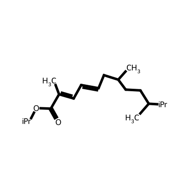 C/C(=C\C=C\CC(C)CCC(C)C(C)C)C(=O)OC(C)C